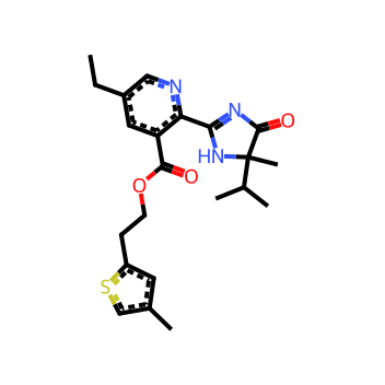 CCc1cnc(C2=NC(=O)C(C)(C(C)C)N2)c(C(=O)OCCc2cc(C)cs2)c1